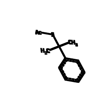 CC(=O)SC(C)(C)c1ccccc1